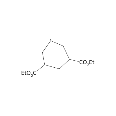 CCOC(=O)C1C[CH]CC(C(=O)OCC)C1